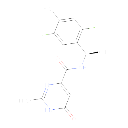 Cc1nc(C(=O)N[C@H](C)c2cc(F)c(C(F)(F)F)cc2F)cc(=O)[nH]1